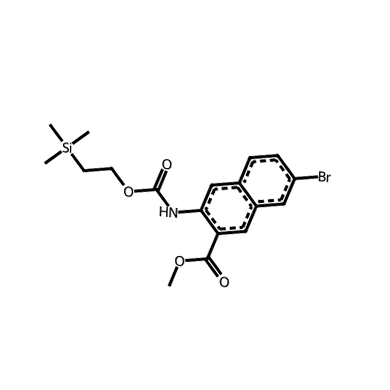 COC(=O)c1cc2cc(Br)ccc2cc1NC(=O)OCC[Si](C)(C)C